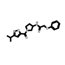 CC(C)c1cc(C(=O)N2CCC(NC(=O)COc3ccccc3)C2)on1